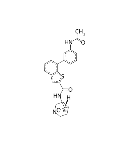 CC(=O)Nc1cccc(-c2cccc3cc(C(=O)N[C@H]4CN5CCC4CC5)sc23)c1